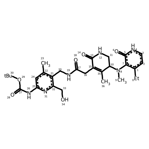 CCc1cc[nH]c(=O)c1N(C)C1CNC(=O)C(CC(=O)NCc2c(C)cc(NC(=O)OC(C)(C)C)nc2CO)=C1C